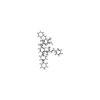 NC(=O)C(CC1CCCCC1)NC(=O)Nc1ccc(N2CCN(C3CCCCC3)CC2)c(NC(=O)C=Cc2ccccc2)c1